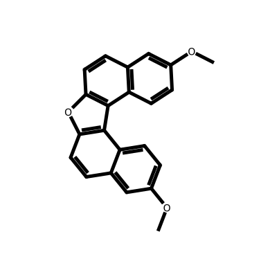 COc1ccc2c(ccc3oc4ccc5cc(OC)ccc5c4c32)c1